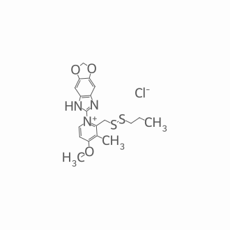 CCCSSCc1c(C)c(OC)cc[n+]1-c1nc2cc3c(cc2[nH]1)OCO3.[Cl-]